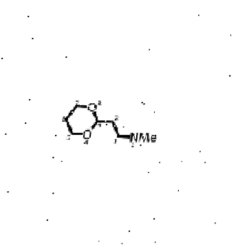 CNCCC1OCCCO1